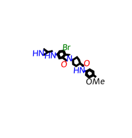 COc1cc(NC(=O)C2CCC(N3Cc4c(Br)cc(NCC5CNC5)cc4C3=O)CC2)ccc1C